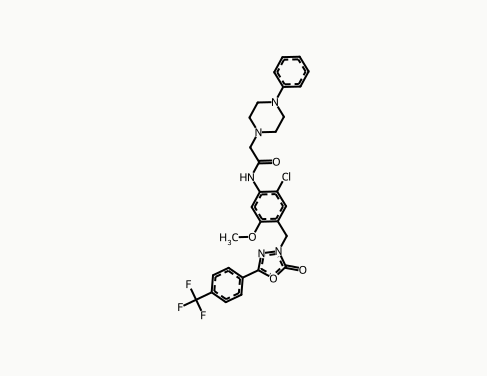 COc1cc(NC(=O)CN2CCN(c3ccccc3)CC2)c(Cl)cc1Cn1nc(-c2ccc(C(F)(F)F)cc2)oc1=O